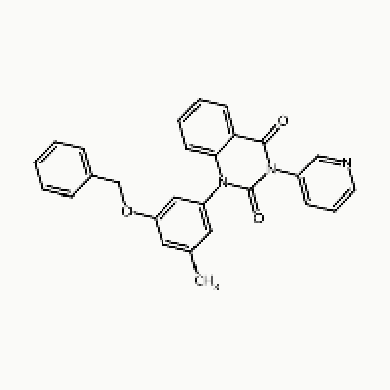 Cc1cc(OCc2ccccc2)cc(-n2c(=O)n(-c3cccnc3)c(=O)c3ccccc32)c1